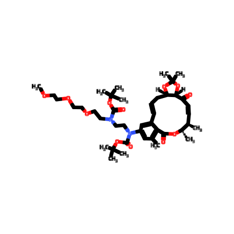 COCCOCCOCCN(CCN(C(=O)OC(C)(C)C)c1cc(C)c2c(c1)/C=C/C[C@@H]1OC(C)(C)O[C@@H]1C(=O)/C=C\[C@@H](C)[C@H](C)OC2=O)C(=O)OC(C)(C)C